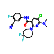 CN(C)c1nc(N2CCCC(F)(F)CC2)c(C(=O)Nc2ccc(F)c(C#N)c2)cc1Cl